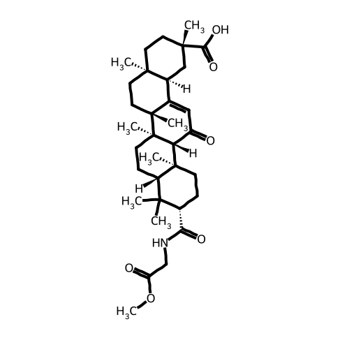 COC(=O)CNC(=O)[C@H]1CC[C@]2(C)[C@H]3C(=O)C=C4[C@@H]5C[C@@](C)(C(=O)O)CC[C@]5(C)CC[C@@]4(C)[C@]3(C)CC[C@H]2C1(C)C